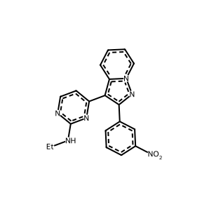 CCNc1nccc(-c2c(-c3cccc([N+](=O)[O-])c3)nn3ccccc23)n1